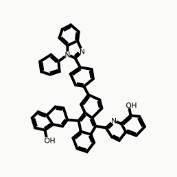 Oc1cccc2ccc(-c3c4ccccc4c(-c4ccc5cccc(O)c5n4)c4ccc(-c5ccc(-c6nc7ccccc7n6-c6ccccc6)cc5)cc34)cc12